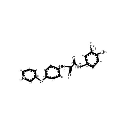 O=C(Nc1ccc(Oc2cccnc2)cc1)C(=O)Nc1ccc(Cl)c(C(F)(F)F)c1